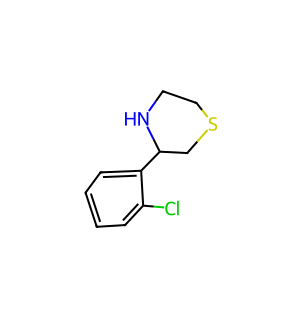 Clc1ccccc1C1CSCCN1